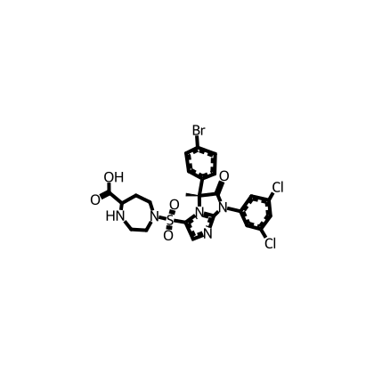 C[C@@]1(c2ccc(Br)cc2)C(=O)N(c2cc(Cl)cc(Cl)c2)c2ncc(S(=O)(=O)N3CCNC(C(=O)O)CC3)n21